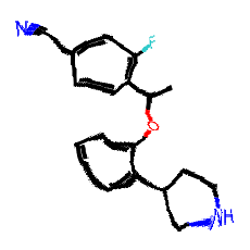 CC(Oc1ccccc1C1CCNCC1)c1ccc(C#N)cc1F